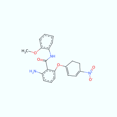 COc1ccccc1NC(=O)c1c(N)cccc1OC1=CC=C([N+](=O)[O-])CC1